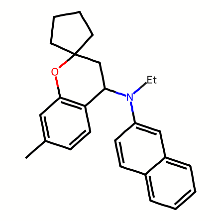 CCN(c1ccc2ccccc2c1)C1CC2(CCCC2)Oc2cc(C)ccc21